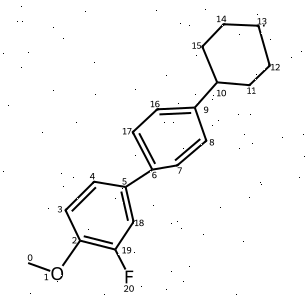 COc1ccc(-c2ccc(C3CC[CH]CC3)cc2)cc1F